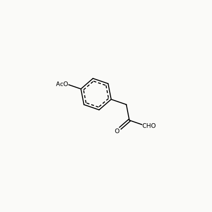 CC(=O)Oc1ccc(CC(=O)C=O)cc1